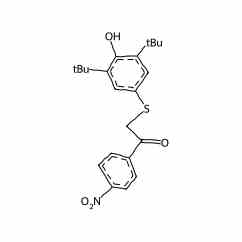 CC(C)(C)c1cc(SCC(=O)c2ccc([N+](=O)[O-])cc2)cc(C(C)(C)C)c1O